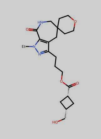 CCn1nc(CCCOC(=O)[C@H]2C[C@@H](CO)C2)c2c1C(=O)NCC1(CCOCC1)C2